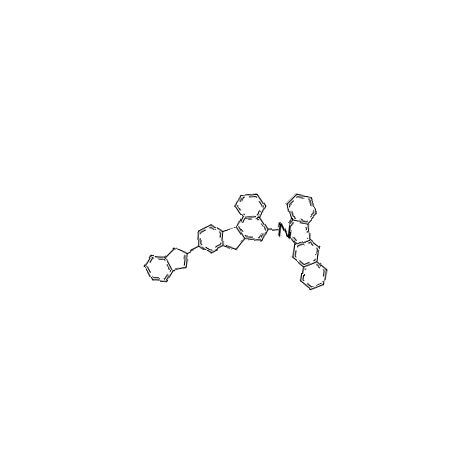 C1=C(c2ccc3c(c2)Cc2cc(-n4c5ccccc5c5cc6ccccc6cc54)c4ccccc4c2-3)Cc2ccccc21